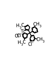 CC1=CCC(C(c2cccc(C)c2)(c2cccc(C)c2)c2cccc(C)c2)=[C]1[Ti+3].[Cl-].[Cl-].[Cl-]